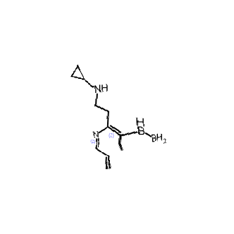 BB/C(C)=C(CCNC1CC1)/N=C\C=C